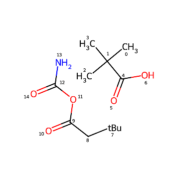 CC(C)(C)C(=O)O.CC(C)(C)CC(=O)OC(N)=O